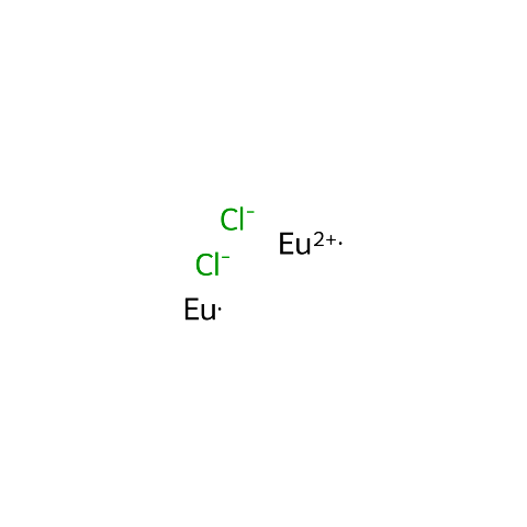 [Cl-].[Cl-].[Eu+2].[Eu]